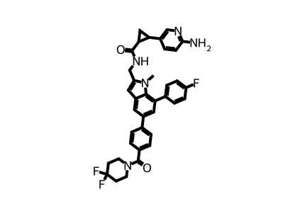 Cn1c(CNC(=O)C2CC2c2ccc(N)nc2)cc2cc(-c3ccc(C(=O)N4CCC(F)(F)CC4)cc3)cc(-c3ccc(F)cc3)c21